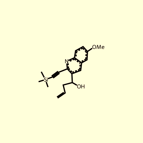 C=CCC(O)c1cc2cc(OC)ccc2nc1C#C[Si](C)(C)C